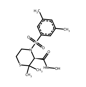 Cc1cc(C)cc(S(=O)(=O)N2CCSC(C)(C)[C@@H]2C(=O)NO)c1